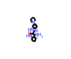 Nc1c(-c2nc3ccc(N4CCCCC4)cc3[nH]2)c(=O)[nH]c2cccc(F)c12